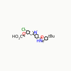 Cc1c(Cc2ccc(Cl)c(O[C@@H](C)C(=O)O)c2)c2ccc(C(=O)N[C@@H](C)c3ccc(C(C)(C)C)cc3)cc2n1C